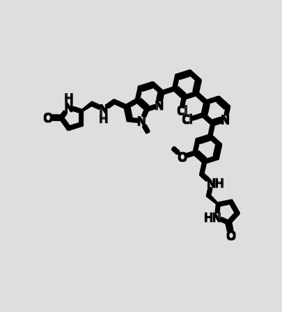 COc1cc(-c2nccc(-c3cccc(-c4ccc5c(CNC[C@H]6CCC(=O)N6)cn(C)c5n4)c3Cl)c2Cl)ccc1CNC[C@H]1CCC(=O)N1